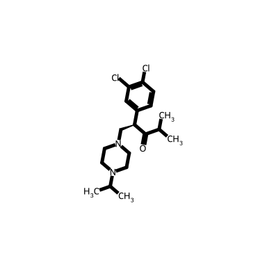 CC(C)C(=O)[C@@H](CN1CCN(C(C)C)CC1)c1ccc(Cl)c(Cl)c1